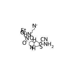 CCOCCN(C(=O)NCCCN(C)C)C(=O)[C@@H]1C[C@@H]2Cc3c(sc(N)c3C#N)C[C@H]2N(C)C1